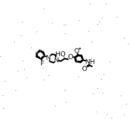 COc1cc(NC(C)=O)ccc1OC[C@@H](O)CN1CCN(c2ccccc2F)CC1